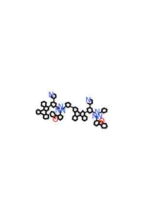 c1ccc(-c2nc(-c3cc(-c4cccnc4)cc(-c4cc5c6ccc(-c7cccc(-c8nc(-c9cc(-c%10cccnc%10)cc(-c%10cc%11c%12ccccc%12c%12ccccc%12c%11c%11ccccc%10%11)c9)nc(-c9cccc%10oc%11ccccc%11c9%10)n8)c7)cc6c6ccccc6c5c5ccccc45)c3)nc(-c3cccc4c3oc3ccccc34)n2)cc1